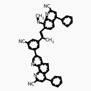 C=Nc1c(/C=C(\C)c2cc(C#N)cc(-c3cnc4c(ccc5c(-c6ccccc6)cc(C#N)nc54)c3)c2)ccc2c(-c3ccccc3)cc(C#N)nc12